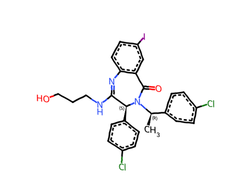 C[C@H](c1ccc(Cl)cc1)N1C(=O)c2cc(I)ccc2N=C(NCCCO)[C@@H]1c1ccc(Cl)cc1